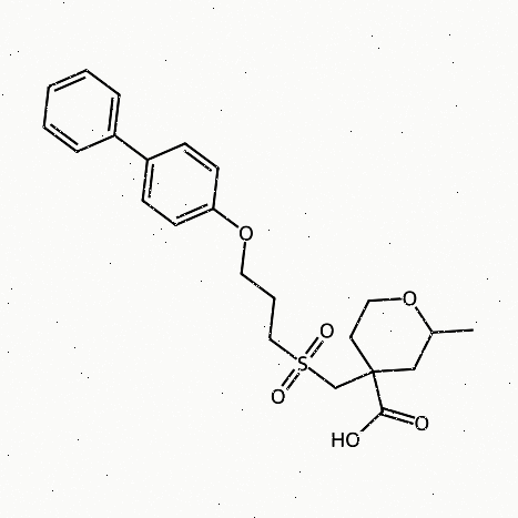 CC1CC(CS(=O)(=O)CCCOc2ccc(-c3ccccc3)cc2)(C(=O)O)CCO1